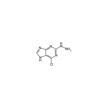 NNc1nc(Cl)c2[nH]cnc2n1